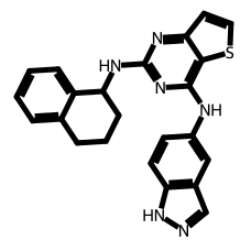 c1ccc2c(c1)CCCC2Nc1nc(Nc2ccc3[nH]ncc3c2)c2sccc2n1